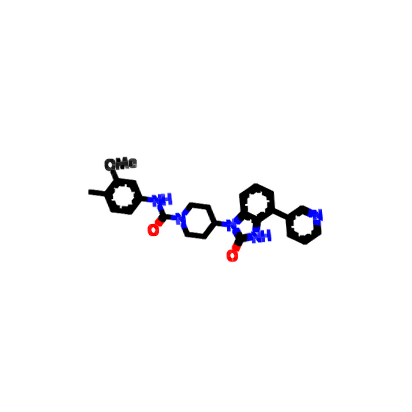 COc1cc(NC(=O)N2CCC(n3c(=O)[nH]c4c(-c5cccnc5)cccc43)CC2)ccc1C